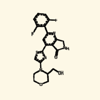 O=C1NCc2nc(-c3c(F)cccc3F)cc(-c3nc(N4CCOCC4CO)cs3)c21